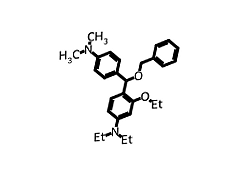 CCOc1cc(N(CC)CC)ccc1C(OCc1ccccc1)c1ccc(N(C)C)cc1